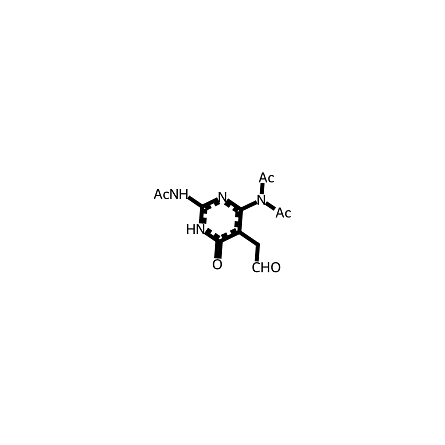 CC(=O)Nc1nc(N(C(C)=O)C(C)=O)c(CC=O)c(=O)[nH]1